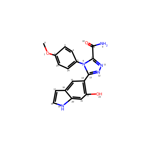 COc1ccc(-n2c(C(N)=O)nnc2-c2cc3cc[nH]c3cc2O)cc1